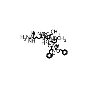 CCC(C)C(NC(=O)C(CC(C)C)NC(=O)C(Cc1ccccc1)NC(=O)OCc1ccccc1)C(=O)C(=O)NC(CCCNC(=N)N)C(N)=O